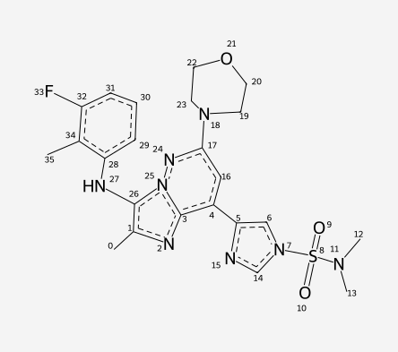 Cc1nc2c(-c3cn(S(=O)(=O)N(C)C)cn3)cc(N3CCOCC3)nn2c1Nc1cccc(F)c1C